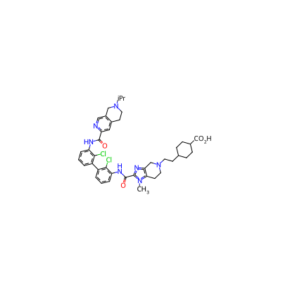 CC(C)N1CCc2cc(C(=O)Nc3cccc(-c4cccc(NC(=O)c5nc6c(n5C)CCN(CCC5CCC(C(=O)O)CC5)C6)c4Cl)c3Cl)ncc2C1